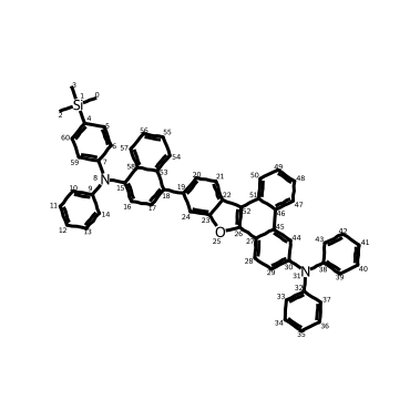 C[Si](C)(C)c1ccc(N(c2ccccc2)c2ccc(-c3ccc4c(c3)oc3c5ccc(N(c6ccccc6)c6ccccc6)cc5c5ccccc5c43)c3ccccc23)cc1